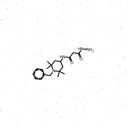 CC1(C)CC(NC(=O)CC(=O)NN)CC(C)(C)N1Cc1ccccc1